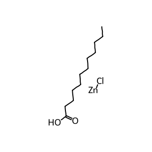 CCCCCCCCCCCC(=O)O.[Cl][Zn]